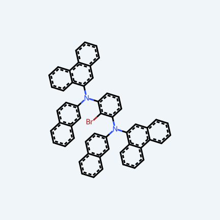 Brc1c(N(c2ccc3ccccc3c2)c2cc3ccccc3c3ccccc23)cccc1N(c1ccc2ccccc2c1)c1cc2ccccc2c2ccccc12